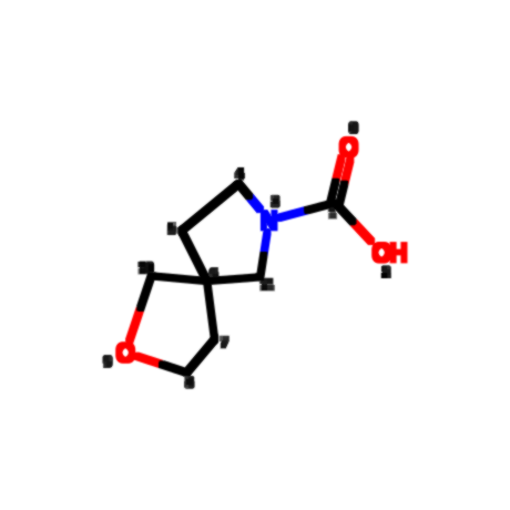 O=C(O)N1CCC2(CCOC2)C1